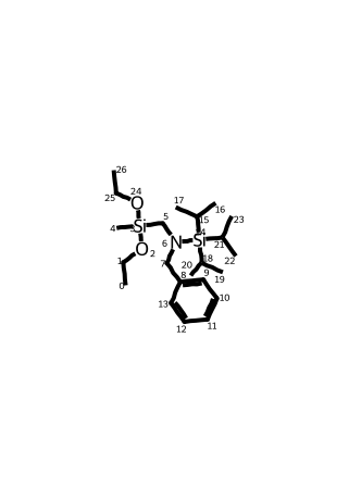 CCO[Si](C)(CN(Cc1ccccc1)[Si](C(C)C)(C(C)C)C(C)C)OCC